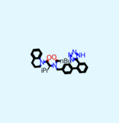 CCCCC(=O)N(Cc1ccc(-c2ccccc2-c2nnn[nH]2)cc1)[C@H](C(=O)N1CCCc2ccccc21)C(C)C